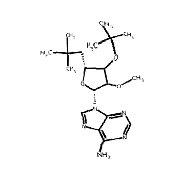 COC1C(OC(C)(C)C)[C@@H](CC(C)(C)C)O[C@H]1n1cnc2c(N)ncnc21